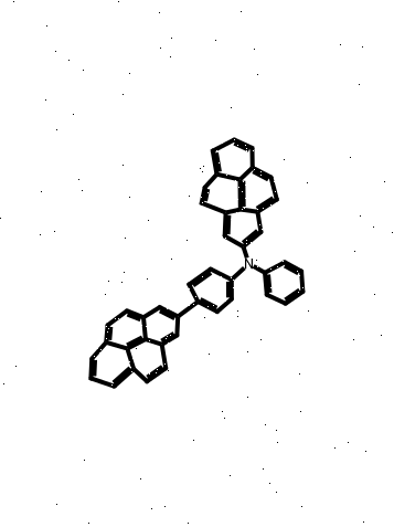 c1ccc(N(c2ccc(-c3cc4ccc5cccc6ccc(c3)c4c56)cc2)c2cc3ccc4cccc5ccc(c2)c3c45)cc1